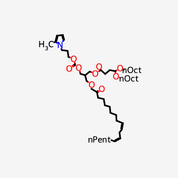 CCCCC/C=C\C/C=C\CCCCCCCC(=O)COCC(COC(=O)CCC(OCCCCCCCC)OCCCCCCCC)COC(=O)OCCCn1cccc1C